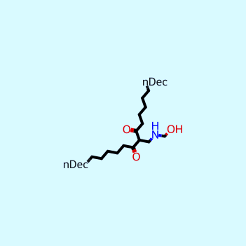 CCCCCCCCCCCCCCCC(=O)C(CNCO)C(=O)CCCCCCCCCCCCCCC